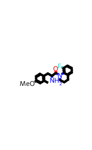 COc1ccc(CC(N)C(=O)N2CCCc3cccc(F)c32)c(C)c1